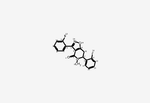 CN1C(=O)c2c(-c3ccccc3F)noc2CC1c1ccccc1F